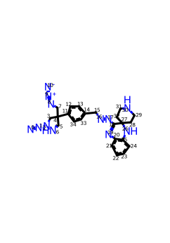 [N-]=[N+]=NCC(C=N)(CN=[N+]=[N-])c1ccc(CN=NC2=Nc3ccccc3NC23CCNCC3)cc1